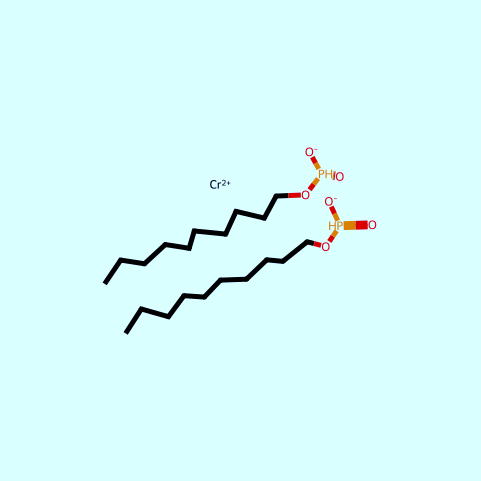 CCCCCCCCCCO[PH](=O)[O-].CCCCCCCCCCO[PH](=O)[O-].[Cr+2]